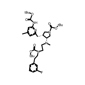 Cc1cc(C[C@@H]2CN(C(=O)OC(C)(C)C)C[C@@H]2N(C)CCN(CCc2cccc(F)c2)C(=O)OC(C)(C)C)nc(NC(=O)OC(C)(C)C)c1